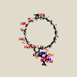 C[C@@H]1[C@H](O)[C@@H](C)/C=C/C=C/C=C/C=C/C=C/C=C/C=C/[C@H](O[C@@H]2O[C@H](C)[C@@H](O)[C@H](N)[C@@H]2O)C[C@@H]2O[C@](O)(C[C@@H](O)C[C@@H](O)[C@H](O)CC[C@@H](O)C[C@@H](O)CC(=O)O[C@H]1C)C[C@H](O)[C@H]2NC(=O)N(O)CC1(C(=O)O)CC1